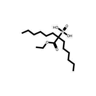 CCCCCCC(CCCCCC)(C(=O)OCC)P(=O)(O)O